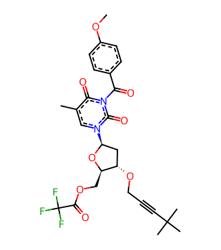 COc1ccc(C(=O)n2c(=O)c(C)cn([C@H]3C[C@H](OCC#CC(C)(C)C)[C@@H](COC(=O)C(F)(F)F)O3)c2=O)cc1